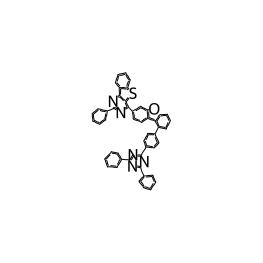 c1ccc(-c2nc(-c3ccccc3)nc(-c3ccc(-c4cccc5oc6cc(-c7nc(-c8ccccc8)nc8c7sc7ccccc78)ccc6c45)cc3)n2)cc1